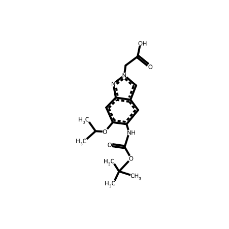 CC(C)Oc1cc2nn(CC(=O)O)cc2cc1NC(=O)OC(C)(C)C